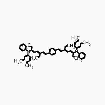 C=C/C=C\C(=C/C=C)N(/C(C=C)=C/C=C(\C=C)C=Cc1ccc(C=C/C(C=C)=C/C=C(\C=C)N(C(/C=C\C=C)=C/C=C)c2ccccc2)cc1)c1ccccc1